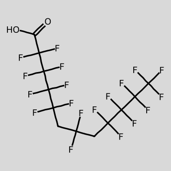 O=C(O)C(F)(F)C(F)(F)C(F)(F)C(F)(F)CC(F)(F)CC(F)(F)C(F)(F)C(F)(F)C(F)(F)F